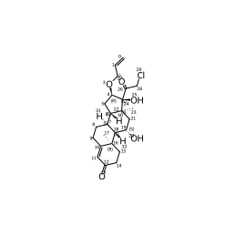 C=CCO[C@@H]1C[C@H]2[C@@H]3CCC4=CC(=O)CC[C@]4(C)[C@H]3[C@@H](O)C[C@]2(C)[C@@]1(O)C(=O)CCl